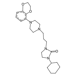 O=C1N(CCCN2CCN(c3cccc4c3OCCO4)CC2)CCN1C1CCCCC1